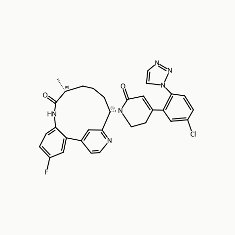 C[C@@H]1CCC[C@H](N2CCC(c3cc(Cl)ccc3-n3ccnn3)=CC2=O)c2cc(ccn2)-c2cc(F)ccc2NC1=O